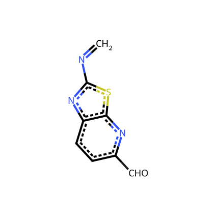 C=Nc1nc2ccc(C=O)nc2s1